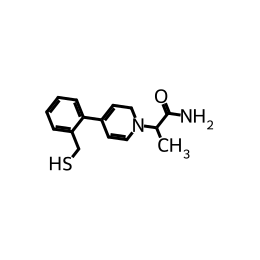 CC(C(N)=O)N1C=CC(c2ccccc2CS)=CC1